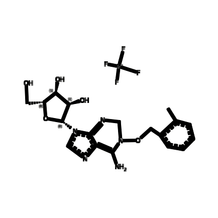 Cc1ccccc1CON1CN=c2c(ncn2[C@@H]2O[C@H](CO)[C@@H](O)[C@H]2O)=C1N.F[B-](F)(F)F